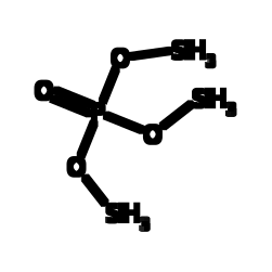 O=P(O[SiH3])(O[SiH3])O[SiH3]